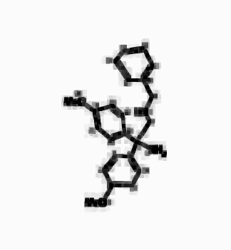 COc1ccc(C(N)(CNCc2ccccc2)c2ccc(OC)cc2)cc1